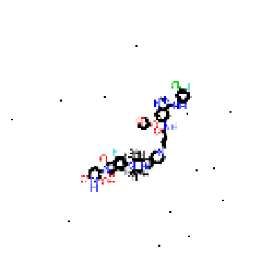 [2H]C1([2H])N(CC2CCN(C/C=C/C(=O)Nc3cc4c(Nc5ccc(F)c(Cl)c5)ncnc4cc3O[C@H]3CCOC3)CC2)C([2H])([2H])C([2H])([2H])N(c2cc(F)c3c(c2)C(=O)N(C2CCC(=O)NC2=O)C3=O)C1([2H])[2H]